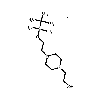 CC(C)(C)[Si](C)(C)OCCN1CCN(CCO)CC1